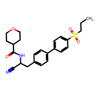 CCCS(=O)(=O)c1ccc(-c2ccc(CC(C#N)NC(=O)C3CCOCC3)cc2)cc1